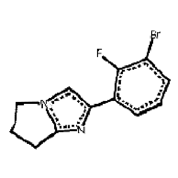 Fc1c(Br)cccc1-c1cn2c(n1)CCC2